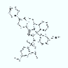 CCOc1ccccc1C1(C(=O)NN2CCN(c3ccncc3)CC2)C(=O)N(S(=O)(=O)c2ccc(OC)cc2OC)c2ccc(C#N)cc21